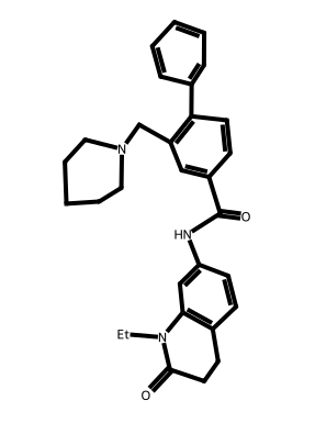 CCN1C(=O)CCc2ccc(NC(=O)c3ccc(-c4ccccc4)c(CN4CCCCC4)c3)cc21